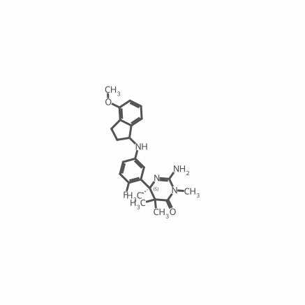 COc1cccc2c1CCC2Nc1ccc(F)c([C@@]2(C)N=C(N)N(C)C(=O)C2(C)C)c1